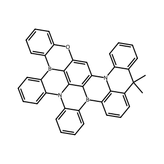 CC1(C)c2ccccc2N2c3cc4c5c6c3B(c3ccccc3N6c3ccccc3B5c3ccccc3O4)c3cccc1c32